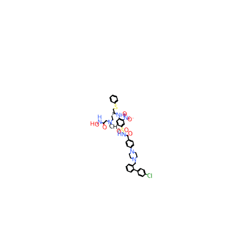 CN(CC[C@H](CSc1ccccc1)Nc1ccc(S(=O)(=O)NC(=O)c2ccc(N3CCN(Cc4ccccc4-c4ccc(Cl)cc4)CC3)cc2)cc1[N+](=O)[O-])CC(=O)NO